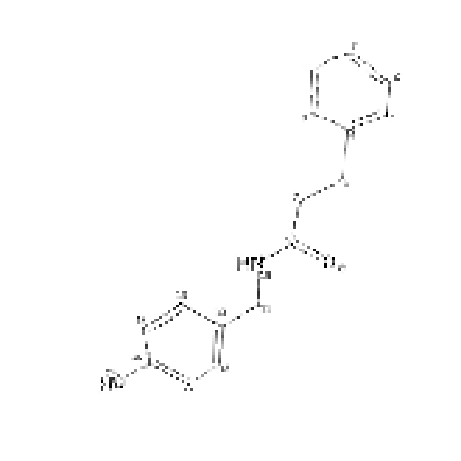 O=C(CCc1ccccc1)NCc1ccc(O)cc1